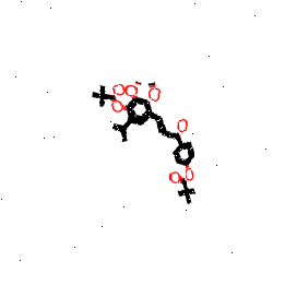 COc1c(C=CC(=O)c2ccc(OC(=O)C(C)(C)C)cc2)cc(C(C)C)c(OC(=O)C(C)(C)C)c1OC